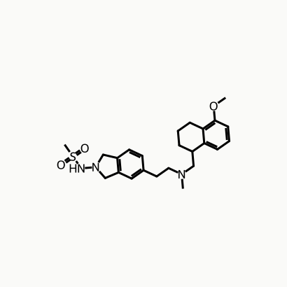 COc1cccc2c1CCCC2CN(C)CCc1ccc2c(c1)CN(NS(C)(=O)=O)C2